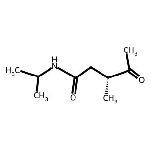 CC(=O)[C@H](C)CC(=O)NC(C)C